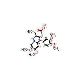 CCc1nc2cc(OC)c(OC)cc2c(-c2ccc(OC)c(OC)c2)c1OC(=O)OC